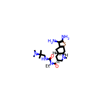 CCN(C(=O)NCC(C)(C)N(C)C)C(=O)[C@@H]1C[C@@H]2Cc3c(sc(N)c3N)C[C@H]2N(C)C1